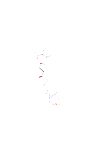 CCC(C)C(C)OC(=O)/C=C/C(=O)OCCCN1CCOCC1